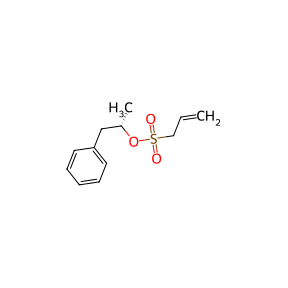 C=CCS(=O)(=O)O[C@@H](C)Cc1ccccc1